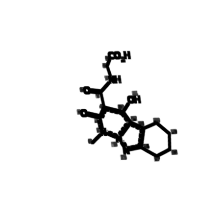 Cn1c(=O)c(C(=O)NCC(=O)O)c(O)c2c3c(nn21)CCCC3